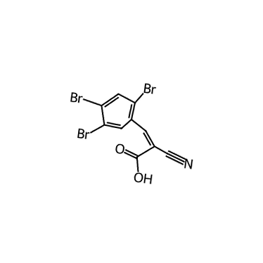 N#CC(=Cc1cc(Br)c(Br)cc1Br)C(=O)O